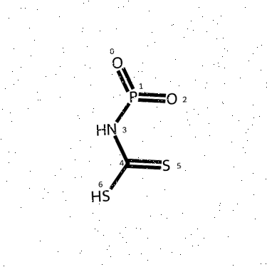 O=P(=O)NC(=S)S